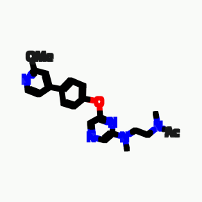 COc1cc(-c2ccc(Oc3cncc(N(C)CCN(C)C(C)=O)n3)cc2)ccn1